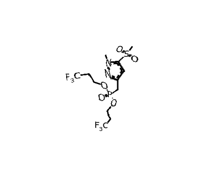 Cn1nc(CP(=O)(OCCC(F)(F)F)OCCC(F)(F)F)cc1S(C)(=O)=O